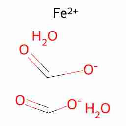 O.O.O=C[O-].O=C[O-].[Fe+2]